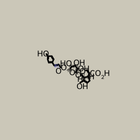 O=C(/C=C/c1ccc(O)cc1)OC[C@H]1O[C@@H](O[C@@H]2OC=C(C(=O)O)[C@H]3CC=C(CO)[C@@H]23)[C@H](O)[C@@H](O)[C@@H]1O